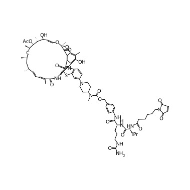 CC(=O)O[C@@H]1[C@H](C)[C@@H](O)/C=C/O[C@@]2(C)Oc3c(C)c(O)c4c(=O)c(c5sc6cc(N7CCC(N(C)C(=O)OCc8ccc(NC(=O)[C@H](CCCNC(N)=O)NC(=O)[C@@H](NC(=O)CCCCCN9C(=O)C=CC9=O)C(C)C)cc8)CC7)ccc6nc-5c4c3C2=O)NC(=O)/C(C)=C\C=C\[C@H](C)C[C@@H](C)C[C@H]1C